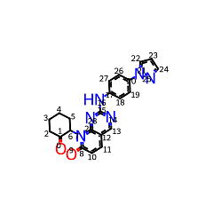 O=C1CCCCC1n1c(=O)ccc2cnc(Nc3ccc(-n4cccn4)cc3)nc21